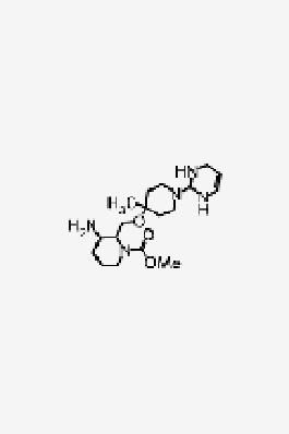 COC(=O)N1CCCC(N)C1COC1(C)CCN(C2NC=CCN2)CC1